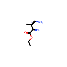 CCOC(=O)C(=N)/C(C)=C\N